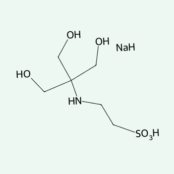 O=S(=O)(O)CCNC(CO)(CO)CO.[NaH]